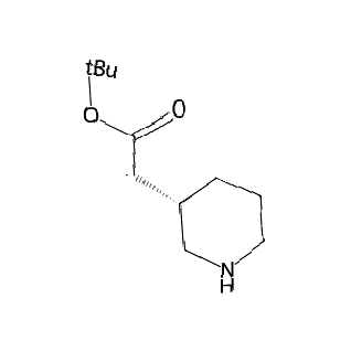 CC(C)(C)OC(=O)[CH][C@@H]1CCCNC1